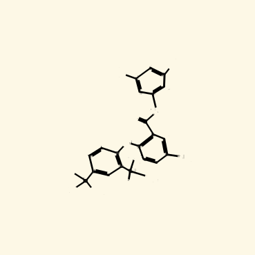 CCC(C)(C)c1ccc(Oc2ccc(N)cc2C(=O)Nc2cc(C(F)(F)F)cc(C(F)(F)F)c2)c(C(C)(C)CC)c1